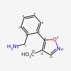 NCc1ccccc1-c1oncc1C(=O)O